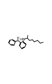 CCCCCCC(C)Nc1ccccc1Nc1ccccc1